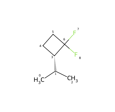 CC(C)[C@@H]1CCC1(F)F